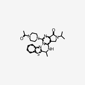 CC(=O)N1CCN(c2nc(NC(C)c3nc4ccccc4s3)c3c(n2)C(=O)N(C(C)C)C3)CC1